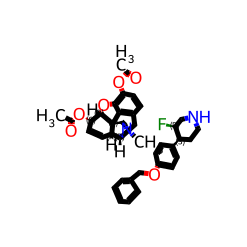 CC(=O)Oc1ccc2c3c1O[C@H]1[C@@H](OC(C)=O)C=C[C@H]4[C@@H](C2)N(C)CC[C@@]341.F[C@H]1CNCC[C@H]1c1ccc(OCc2ccccc2)cc1